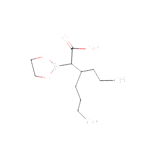 CCCCC(CCC)C(B1OCCO1)C(=O)O